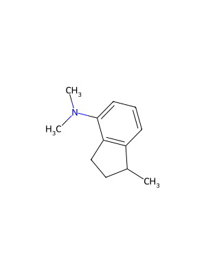 CC1CCc2c1cccc2N(C)C